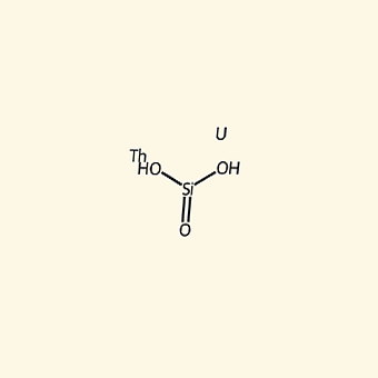 O=[Si](O)O.[Th].[U]